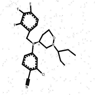 CCC(CC)N1C[C@@H](N(Cc2ccc(F)c(F)c2F)c2ccc(C#N)c(Cl)c2)CCO1